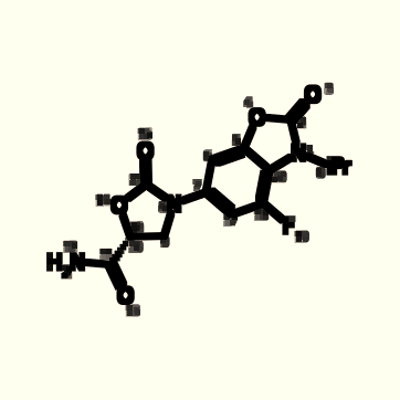 CC(C)n1c(=O)oc2cc(N3C[C@H](C(N)=O)OC3=O)cc(F)c21